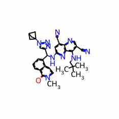 Cn1ccc2c([C@H](Nc3cc(C#N)c4ncc(C#N)c(NCC(C)(C)C)c4n3)c3cn(C45CC(C4)C5)nn3)cccc2c1=O